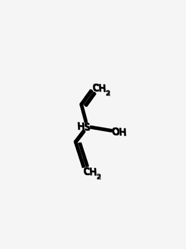 C=C[SH](O)C=C